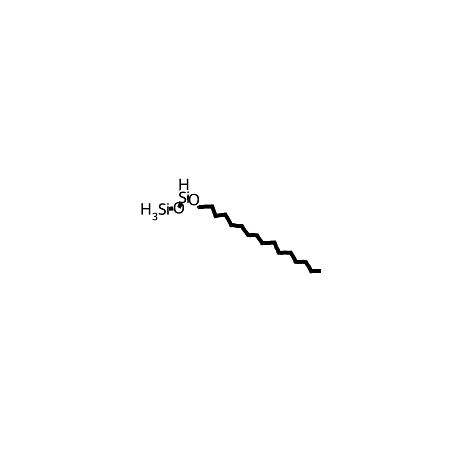 CCCCCCCCCCCCCCCCO[SiH](C)O[SiH3]